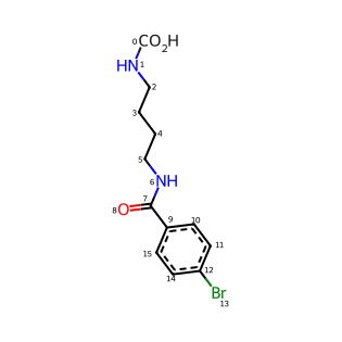 O=C(O)NCCCCNC(=O)c1ccc(Br)cc1